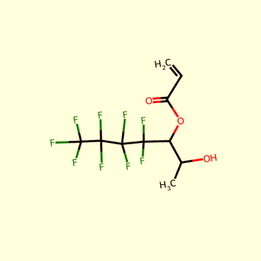 C=CC(=O)OC(C(C)O)C(F)(F)C(F)(F)C(F)(F)C(F)(F)F